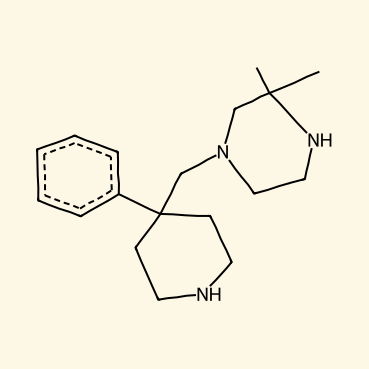 CC1(C)CN(CC2(c3ccccc3)CCNCC2)CCN1